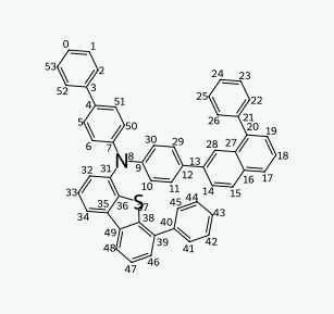 c1ccc(-c2ccc(N(c3ccc(-c4ccc5cccc(-c6ccccc6)c5c4)cc3)c3cccc4c3sc3c(-c5ccccc5)cccc34)cc2)cc1